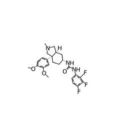 COc1ccc([C@@]23CC[C@@H](NC(=O)Nc4ccc(F)c(F)c4F)C[C@@H]2CN(C)C3)cc1OC